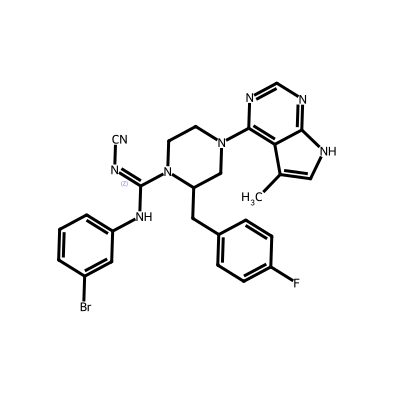 Cc1c[nH]c2ncnc(N3CCN(/C(=N\C#N)Nc4cccc(Br)c4)C(Cc4ccc(F)cc4)C3)c12